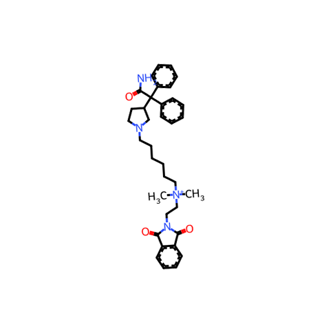 C[N+](C)(CCCCCCN1CCC(C(C(N)=O)(c2ccccc2)c2ccccc2)C1)CCN1C(=O)c2ccccc2C1=O